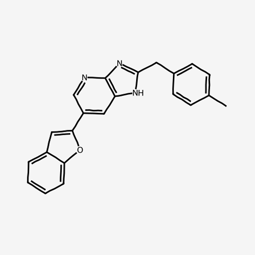 Cc1ccc(Cc2nc3ncc(-c4cc5ccccc5o4)cc3[nH]2)cc1